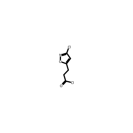 O=C(Cl)CCc1cc(Cl)no1